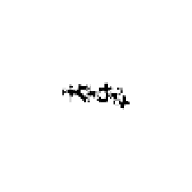 CC(C)(C)OC(=O)N1CCN(c2ncc(C(F)(F)F)cn2)CC1(C)C